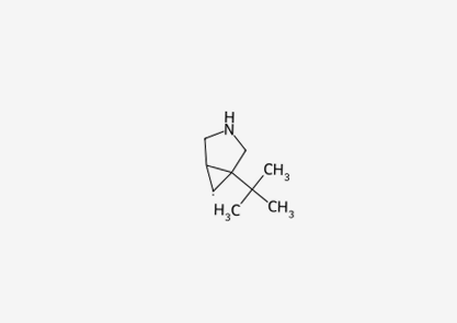 CC(C)(C)C12[CH]C1CNC2